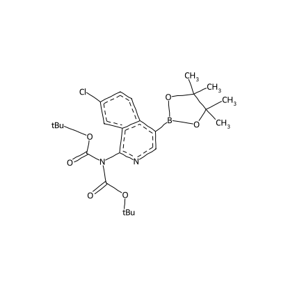 CC(C)(C)OC(=O)N(C(=O)OC(C)(C)C)c1ncc(B2OC(C)(C)C(C)(C)O2)c2ccc(Cl)cc12